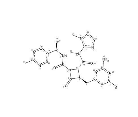 CCC[C@@H](NC(=O)N1C(=O)[C@H](Cc2cc(C)nc(N)c2)[C@H]1C(=O)N(C)c1nccn1C)c1ccc(C)nc1